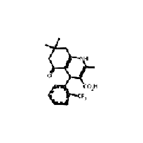 CC1=C(C(=O)O)C(c2ccccc2C(F)(F)F)C2=C(CC(C)(C)CC2=O)N1